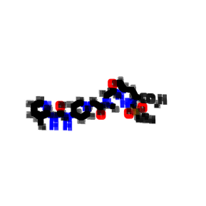 CCCCS(=O)(=O)NC(Cc1coc(CN(C)C(=O)CN2CCC(NC(=O)Nc3ncccc3C)CC2)n1)C(=O)O